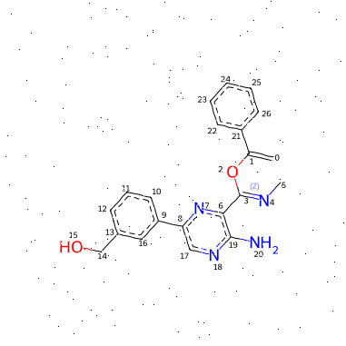 C=C(O/C(=N\C)c1nc(-c2cccc(CO)c2)cnc1N)c1ccccc1